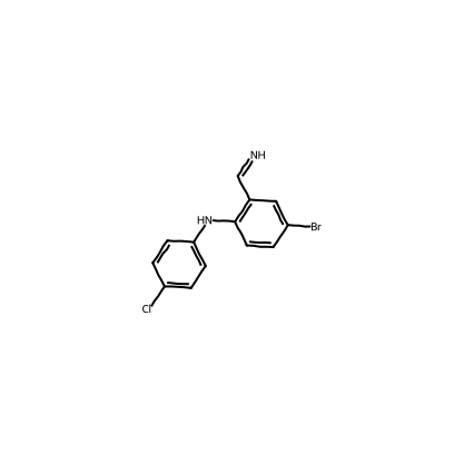 N=Cc1cc(Br)ccc1Nc1ccc(Cl)cc1